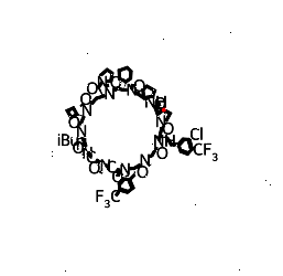 CC[C@H](C)[C@@H]1NC(=O)[C@H](C2CCC2)N(C)C(=O)C[C@@H](C(=O)N2CCCC2)N(C)C(=O)[C@H](C2CCCCC2)N(C)C(=O)C2(CCCC2)NC(=O)[C@@H]2CCCN2C(=O)[C@H](CCc2ccc(C(F)(F)F)c(Cl)c2)NC(=O)CN(C)C(=O)[C@H](Cc2ccc(C(F)(F)F)cc2)N(C)C(=O)CN(C)C(=O)CN(C)C1=O